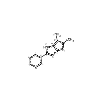 Cc1nn2cc(-c3ccccc3)[nH]c2c1N